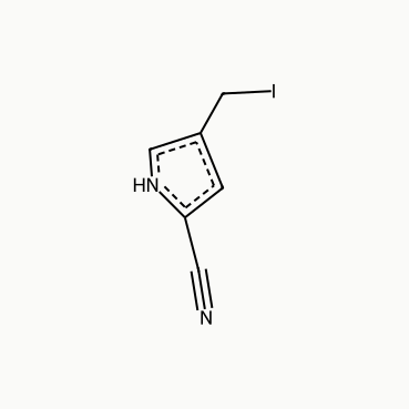 N#Cc1cc(CI)c[nH]1